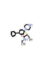 CC(C)C[C@H](SC1(N2CCNCC2)C=CC(c2ccccc2)C=C1)C(=O)NCC#N